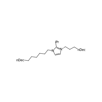 CCCCCCCCCCCCCCCCn1cc[n+](CCCCCCCCCCCCC)c1C(C)C